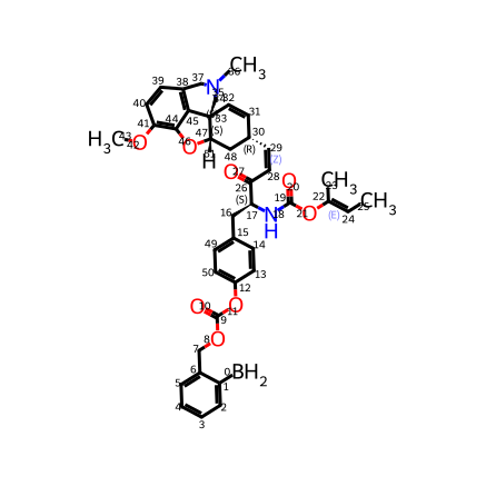 Bc1ccccc1COC(=O)Oc1ccc(C[C@H](NC(=O)O/C(C)=C/C)C(=O)/C=C\[C@H]2C=C[C@@]34CN(C)Cc5ccc(OC)c(c53)O[C@H]4C2)cc1